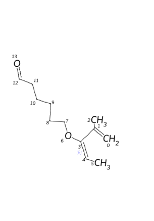 C=C(C)/C(=C\C)OCCCCCC=O